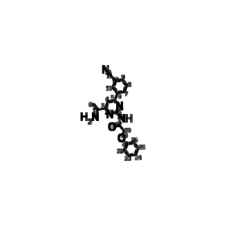 C=C(N)c1cc(-c2cccc(C#N)c2)nc(NC(=O)COc2ccccc2)n1